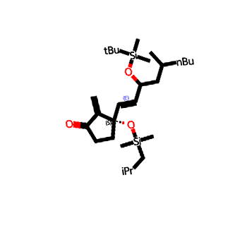 C=C1C(=O)CC[C@@]1(/C=C/C(CC(C)CCCC)O[Si](C)(C)C(C)(C)C)O[Si](C)(C)CC(C)C